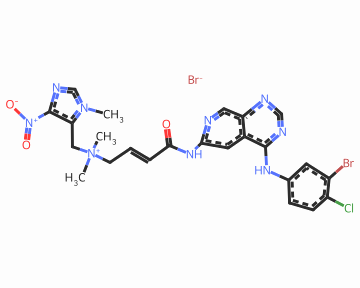 Cn1cnc([N+](=O)[O-])c1C[N+](C)(C)CC=CC(=O)Nc1cc2c(Nc3ccc(Cl)c(Br)c3)ncnc2cn1.[Br-]